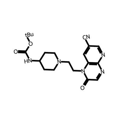 CC(C)(C)OC(=O)NC1CCN(CCn2c(=O)cnc3ncc(C#N)cc32)CC1